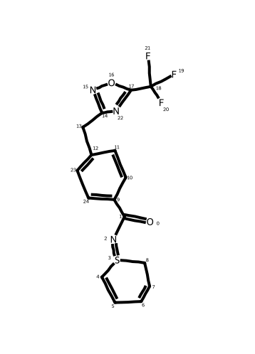 O=C(N=S1C=CC=CC1)c1ccc(Cc2noc(C(F)(F)F)n2)cc1